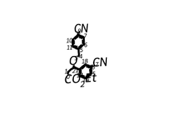 CCOC(=O)CC(OCc1ccc(C#N)cc1)c1cccc(C#N)c1